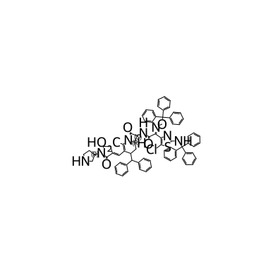 O=C(O)C1=C(C=C2CCN([C@@H]3CCNC3)C2=O)C(C(c2ccccc2)c2ccccc2)C[C@@H]2[C@H](NC(=O)C(=NOC(c3ccccc3)(c3ccccc3)c3ccccc3)c3nc(NC(c4ccccc4)(c4ccccc4)c4ccccc4)sc3Cl)C(=O)N12